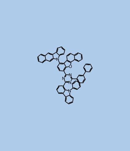 c1ccc(-c2cccc(-c3nc(-c4ccc(-n5c6ccccc6c6cc7ccccc7cc65)c5c4oc4c6ccccc6ccc45)nc(-c4cccc5c6ccccc6n(-c6ccccc6)c45)n3)c2)cc1